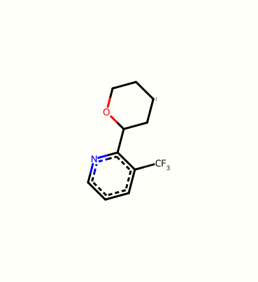 FC(F)(F)c1cccnc1C1C[C]CCO1